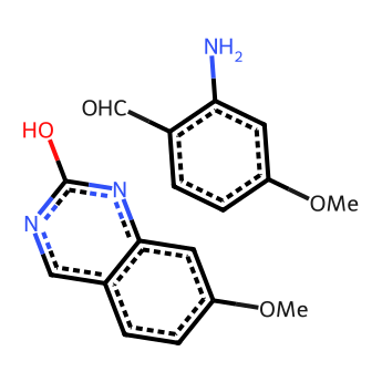 COc1ccc(C=O)c(N)c1.COc1ccc2cnc(O)nc2c1